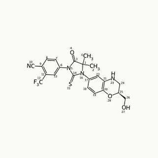 CC1(C)C(=O)N(c2ccc(C#N)c(C(F)(F)F)c2)C(=S)N1c1ccc2c(c1)NC[C@@H](CO)O2